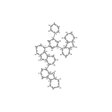 c1ccc(-c2nc(-c3cccc4oc5c(-c6cccc7c6oc6ccccc67)cccc5c34)nc(-c3cccc4sc5ccccc5c34)n2)cc1